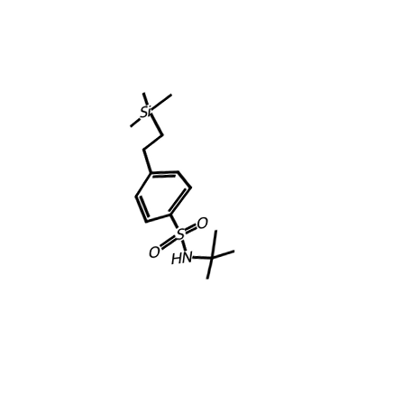 CC(C)(C)NS(=O)(=O)c1ccc(CC[Si](C)(C)C)cc1